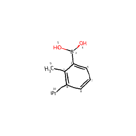 Cc1c(B(O)O)cccc1C(C)C